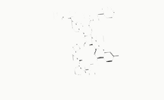 CCCCOC(=O)N1CCN(C(=O)C(CCC(=O)OCC2CCCCO2)NC(=O)c2cc(OCC(=O)N3CCCC3C(=O)NC3CCC3)c3ccc(C)cc3n2)CC1